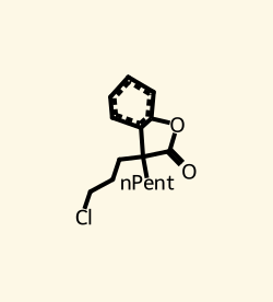 CCCCCC1(CCCCl)C(=O)Oc2ccccc21